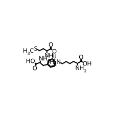 CSCCC(N)C(=O)O.NC(Cc1ccccc1)C(=O)O.NCCCCC(N)C(=O)O